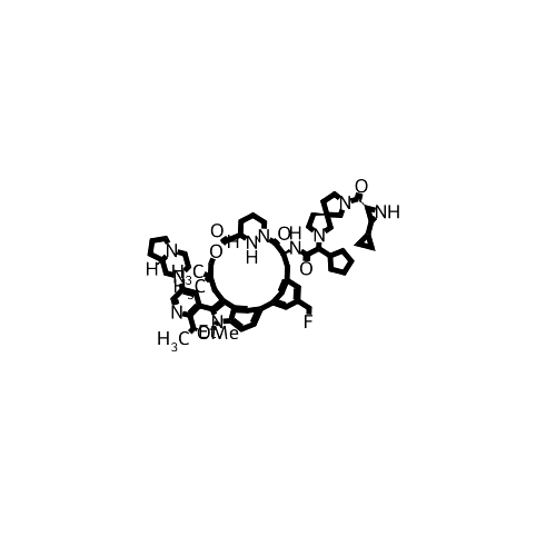 CCn1c(-c2cc(N3CCN4CCC[C@@H]4C3)cnc2[C@H](C)OC)c2c3cc(ccc31)-c1cc(CF)cc(c1)C[C@H](NC(=O)C(C1CCCC1)N1CC[C@]3(CCN(C(=O)[C@@H]4NC4C4CC4)C3)C1)C(=O)N1CCC[C@H](N1)C(=O)OCC(C)(C)C2